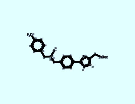 CCCCCCCCCCCc1nc(-c2ccc(C[NH+]([O-])Cc3ccc(C(F)(F)F)cc3)cc2)no1